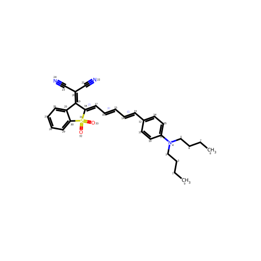 CCCCN(CCCC)c1ccc(/C=C/C=C/C=C2/C(=C(C#N)C#N)c3ccccc3S2(=O)=O)cc1